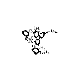 CCCCCCCCCC1CCC(c2cc(C)c(Oc3cccc(N)c3)c(C)c2)(c2cc(C)c(Oc3cccc(N)c3)c(C)c2)CC1